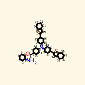 Nc1ccccc1OCc1ccc(N(c2ccc(-c3cc4ccccc4s3)cc2)c2ccc(-c3cc4ccccc4s3)cc2)cc1